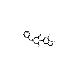 O=C1CN(Cc2ccccc2)CC(=O)N1c1cc(F)c2[nH]ccc2c1